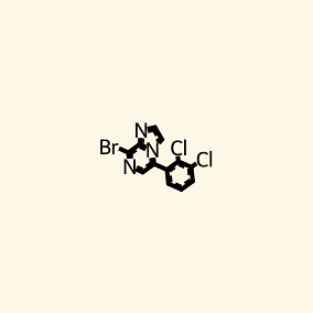 Clc1cccc(-c2cnc(Br)c3nccn23)c1Cl